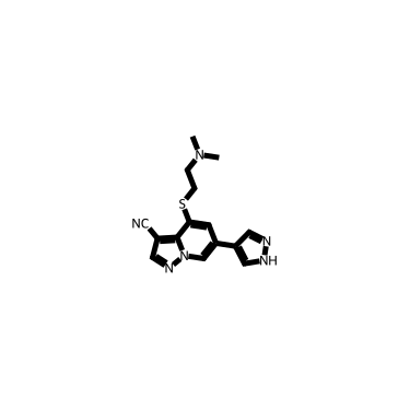 CN(C)CCSc1cc(-c2cn[nH]c2)cn2ncc(C#N)c12